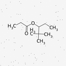 CCC(=O)OC(CC)C(C)(C)C